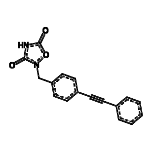 O=c1[nH]c(=O)n(Cc2ccc(C#Cc3ccccc3)cc2)o1